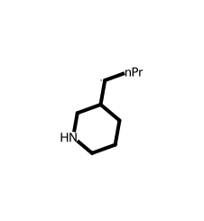 CCC[CH]C1CCCNC1